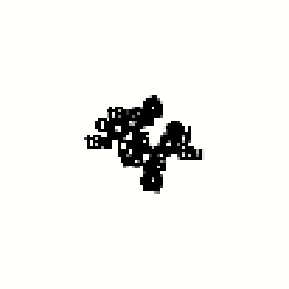 CC(C)(C)C1=CC(=C(c2cc3ccccc3s2)c2sc(C(=C3C=C(C(C)(C)C)C(=O)C(C(C)(C)C)=C3)c3cc4ccccc4s3)c3c2OCCO3)C=C(C(C)(C)C)C1=O